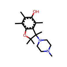 Cc1c(C)c2c(c(C)c1O)C(C)(N1CCN(C)CC1)C(C)(C)O2